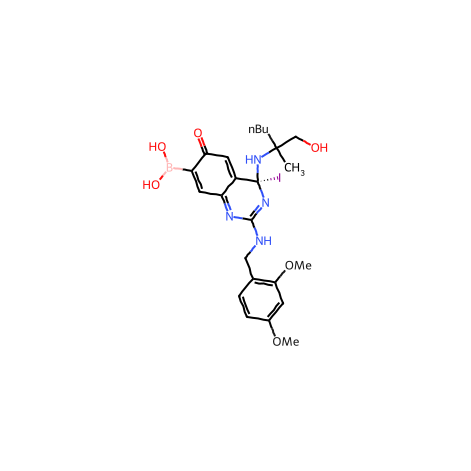 CCCCC(C)(CO)N[C@@]1(I)N=C(NCc2ccc(OC)cc2OC)N=C2C=C(B(O)O)C(=O)C=C21